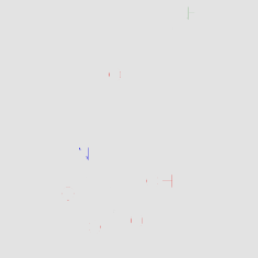 COC(=O)c1c(O)c2ccc(Oc3ccc(F)cc3)cc2n(C)c1=O